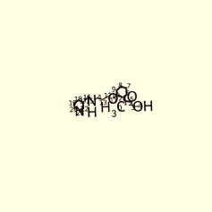 Cc1c(CO)oc2cccc(OCCCNCc3cccnc3)c12